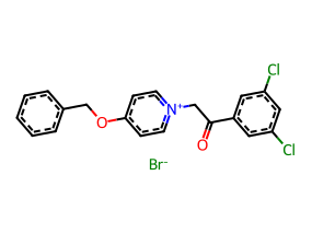 O=C(C[n+]1ccc(OCc2ccccc2)cc1)c1cc(Cl)cc(Cl)c1.[Br-]